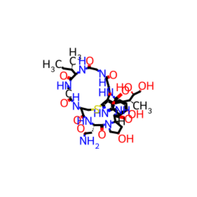 CC[C@H](C)C1NC(=O)CNC(=O)C2Cc3c([nH]c4cc(O)ccc34)SCC(NC(=O)CNC1=O)C(=O)N[C@@H](CC(N)=O)C(=O)N1CC(O)C[C@H]1C(=O)N[C@@H]([C@@H](C)[C@@H](O)CO)C(=O)N2